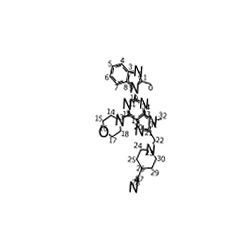 Cc1nc2ccccc2n1-c1nc(N2CCOCC2)c2nc(CN3CCC(C#N)CC3)n(C)c2n1